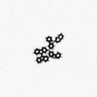 C1=CC2C=CC(n3c4ccccc4c4cc(N(c5ccc6c(c5)C(=C5c7ccccc7-c7ccccc75)c5ccccc5-6)c5ccc6sc7ccccc7c6c5)ccc43)=CC2C=C1